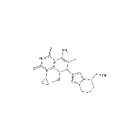 COC1c2c(c(=O)[nH]c(=O)n2C2CC2)C(N)=C(F)C1c1cc2c(s1)CCCC2CO